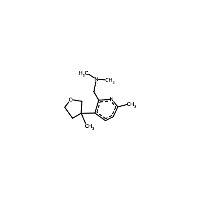 Cc1ccc(C2(C)CCOC2)c(CN(C)C)n1